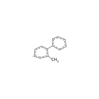 Cc1c[c]ccc1-c1ccccc1